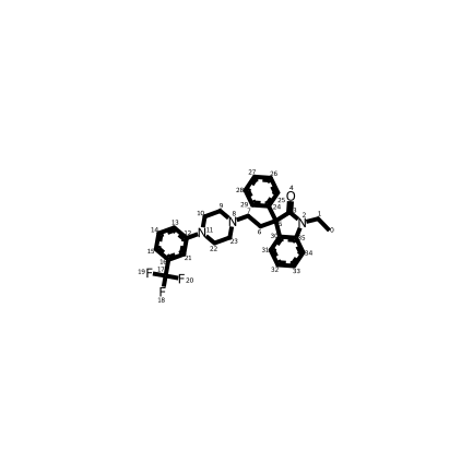 CCN1C(=O)C(CCN2CCN(c3cccc(C(F)(F)F)c3)CC2)(c2ccccc2)c2ccccc21